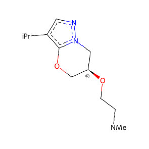 CNCCO[C@H]1COc2c(C(C)C)cnn2C1